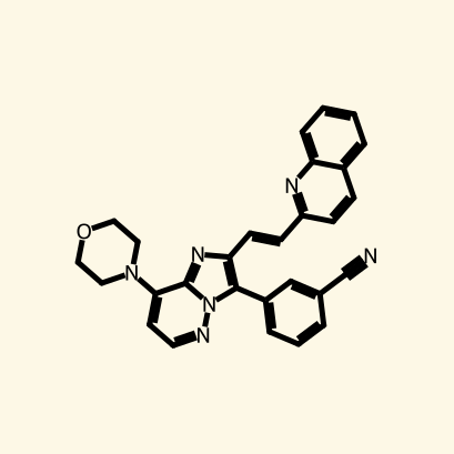 N#Cc1cccc(-c2c(C=Cc3ccc4ccccc4n3)nc3c(N4CCOCC4)ccnn23)c1